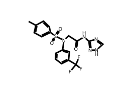 Cc1ccc(S(=O)(=O)N(CC(=O)Nc2nc[nH]n2)c2cccc(C(F)(F)F)c2)cc1